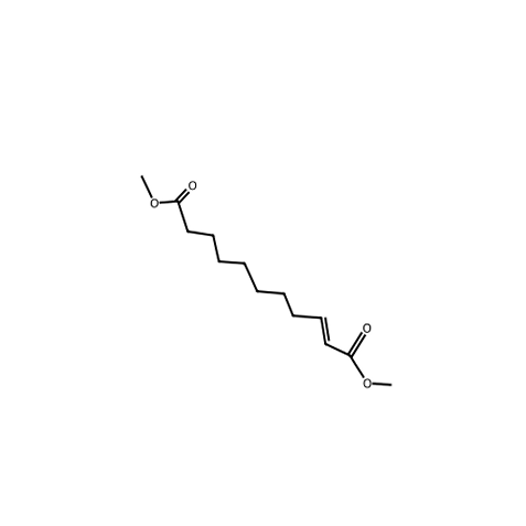 COC(=O)C=CCCCCCCCC(=O)OC